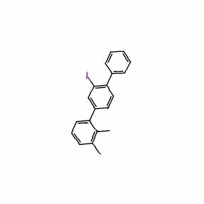 Cc1cccc(-c2ccc(-c3ccccc3)c(I)c2)c1C